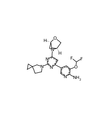 Nc1ncc(-c2cc(N3C[C@@H]4C[C@H]3CO4)nc(N3CCC4(CC4)C3)n2)cc1OC(F)F